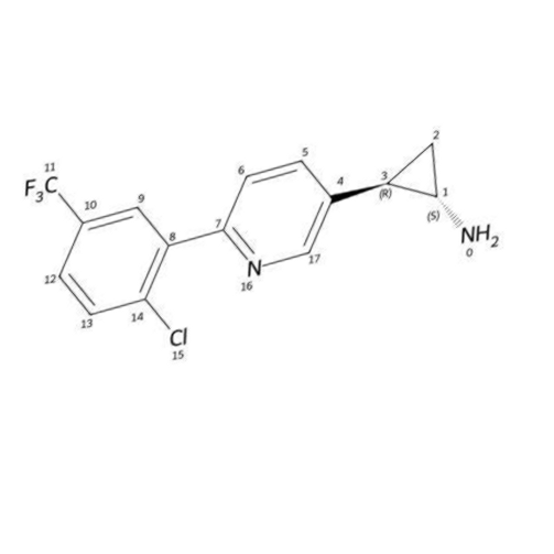 N[C@H]1C[C@@H]1c1ccc(-c2cc(C(F)(F)F)ccc2Cl)nc1